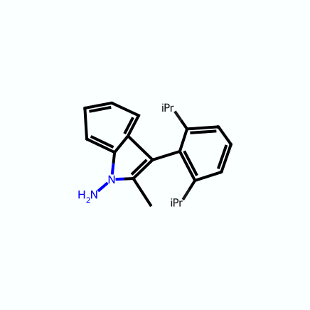 Cc1c(-c2c(C(C)C)cccc2C(C)C)c2ccccc2n1N